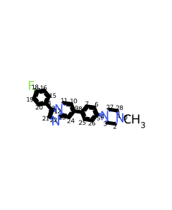 CN1CCN(c2ccc(-c3ccn4c(-c5ccc(F)cc5)cnc4c3)cc2)CC1